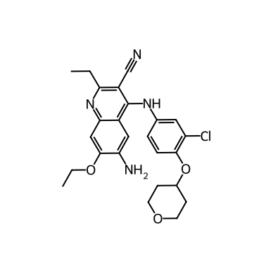 CCOc1cc2nc(CC)c(C#N)c(Nc3ccc(OC4CCOCC4)c(Cl)c3)c2cc1N